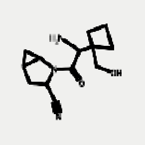 N#CC1CC2CC2N1C(=O)C(N)C1(CO)CCC1